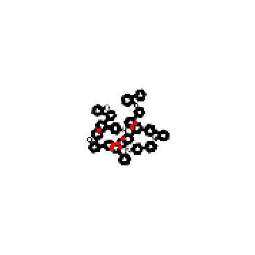 c1ccc(-c2ccccc2N(c2ccc(-c3cccc(-n4c5ccccc5c5ccc(-c6cccc(-c7ccccc7N(c7ccc(-c8cccc(-n9c%10ccccc%10c%10ccccc%109)c8)cc7)c7ccc(-c8ccccc8-c8cccc9oc%10ccccc%10c89)cc7)c6)cc54)c3)cc2)c2cccc(-c3ccc(-c4cccc5oc6ccccc6c45)cc3)c2)cc1